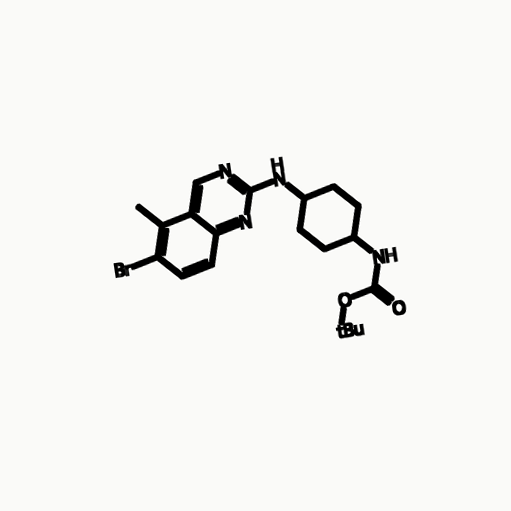 Cc1c(Br)ccc2nc(NC3CCC(NC(=O)OC(C)(C)C)CC3)ncc12